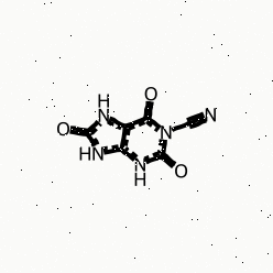 N#Cn1c(=O)[nH]c2[nH]c(=O)[nH]c2c1=O